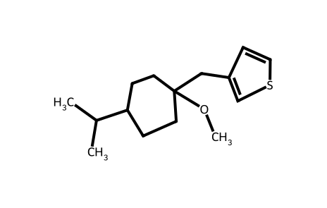 COC1(Cc2ccsc2)CCC(C(C)C)CC1